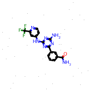 NC(=O)c1cccc(-c2nc(N)nc(Nc3ccnc(C(F)(F)F)c3)n2)c1